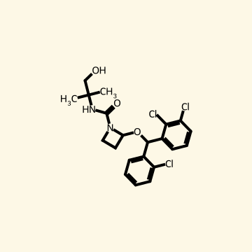 CC(C)(CO)NC(=O)N1CCC1OC(c1ccccc1Cl)c1cccc(Cl)c1Cl